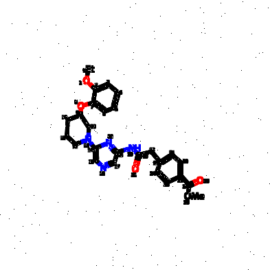 CCOc1ccccc1OC1CCCN(c2cncc(NC(=O)Cc3ccc(C(=O)OC)cc3)n2)C1